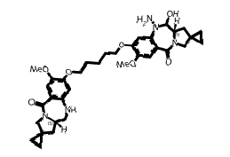 COc1cc2c(cc1OCCCCCOc1cc3c(cc1OC)C(=O)N1CC4(CC4)C[C@H]1C(O)N3N)NC[C@@H]1CC3(CC3)CN1C2=O